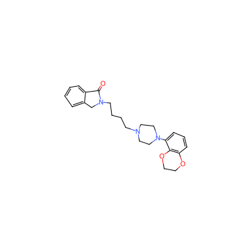 O=C1c2ccccc2CN1CCCCN1CCN(c2cccc3c2OCCO3)CC1